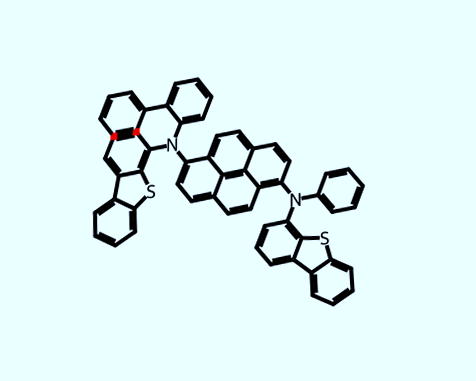 c1ccc(-c2ccccc2N(c2ccc3ccc4c(N(c5ccccc5)c5cccc6c5sc5ccccc56)ccc5ccc2c3c54)c2cccc3c2sc2ccccc23)cc1